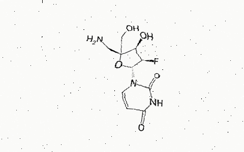 NC[C@]1(CO)O[C@@H](n2ccc(=O)[nH]c2=O)[C@H](F)[C@@H]1O